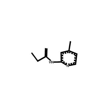 C=C(CC)Nc1cc(C)ccn1